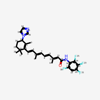 CC1=C(/C=C/C(C)=C/C=C/C(C)=C/C(=O)Nc2c(F)cc(F)c(F)c2F)C(C)(C)CCC1n1ccnc1